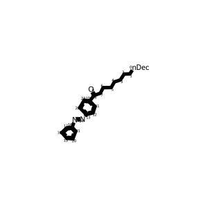 CCCCCCCCCCCCCCCCCC(=O)c1ccc(/N=N/c2ccccc2)cc1